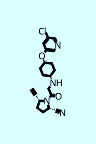 C#C[C@H]1CC[C@@H](C#N)N1C(=O)CN[C@H]1CC[C@H](Oc2cncc(Cl)c2)CC1